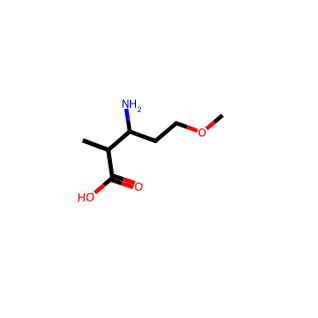 COCCC(N)C(C)C(=O)O